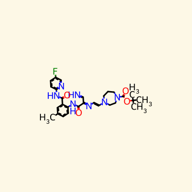 Cc1ccc(NC(=O)/C(C=N)=N/C=C/N2CCCN(C(=O)OC(C)(C)C)CC2)c(C(=O)Nc2ccc(F)cn2)c1